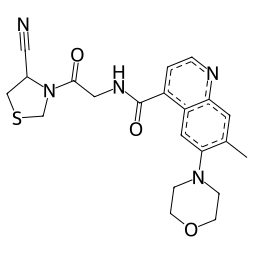 Cc1cc2nccc(C(=O)NCC(=O)N3CSCC3C#N)c2cc1N1CCOCC1